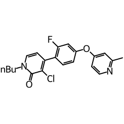 CCCCn1ccc(-c2ccc(Oc3ccnc(C)c3)cc2F)c(Cl)c1=O